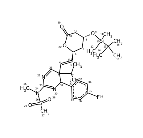 CC(C)C1(C=C[C@@H]2C[C@@H](O[Si](C)(C)C(C)(C)C)CC(=O)O2)C=NC(N(C)S(C)(=O)=O)=NC1c1ccc(F)cc1